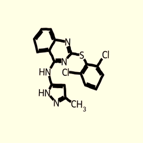 Cc1cc(Nc2nc(Sc3c(Cl)cccc3Cl)nc3ccccc23)[nH]n1